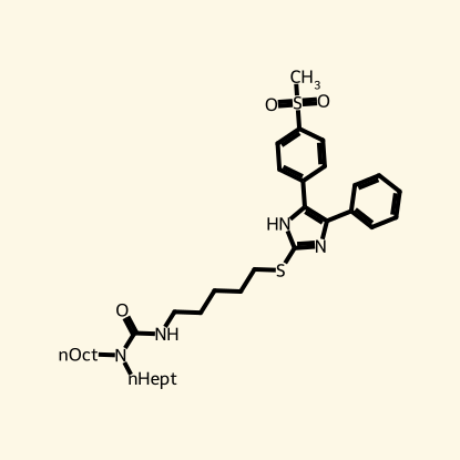 CCCCCCCCN(CCCCCCC)C(=O)NCCCCCSc1nc(-c2ccccc2)c(-c2ccc(S(C)(=O)=O)cc2)[nH]1